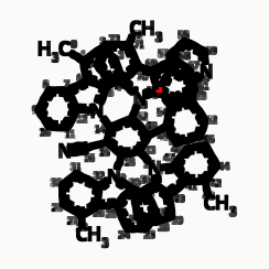 Cc1cccc2c1c1ccccc1n2-c1c(C#N)c(-n2c3ccccc3c3c(C)cccc32)c(-n2c3ccccc3c3c(C)cccc32)c(-c2cccc3c2oc2cccnc23)c1-n1c2ccccc2c2c(C)cccc21